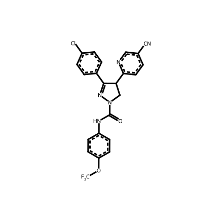 N#Cc1ccc(C2CN(C(=O)Nc3ccc(OC(F)(F)F)cc3)N=C2c2ccc(Cl)cc2)nc1